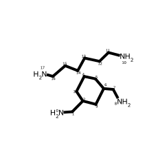 NCC1CCCC(CN)C1.NCCCCCCN